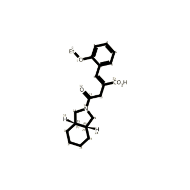 CCOc1ccccc1C=C(CC(=O)N1C[C@H]2CCCC[C@H]2C1)C(=O)O